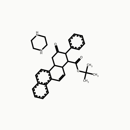 C1CNCCN1.CC(C)(C)OC(=O)C1C(c2ccccc2)C(=O)CC2c3ccc4ccccc4c3C=CC21